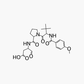 COc1ccc(C(=O)NC(C(=O)N2CCCC2C(=O)NC(C=O)CC(=O)O)C(C)(C)C)cc1